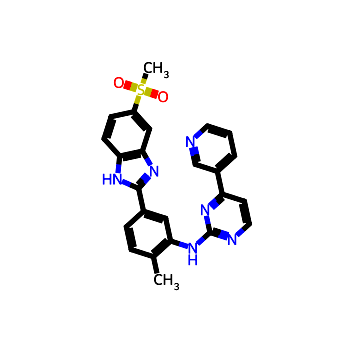 Cc1ccc(-c2nc3cc(S(C)(=O)=O)ccc3[nH]2)cc1Nc1nccc(-c2cccnc2)n1